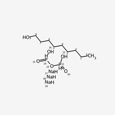 CCCCCCCCCO.O=[PH](O)O[PH](=O)O.[NaH].[NaH].[NaH]